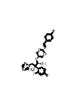 C[C@@H](S[C@H]1CO[C@H](C=Cc2ccc(F)cc2)OC1)[C@](O)(Cn1cncn1)c1ccc(F)cc1F